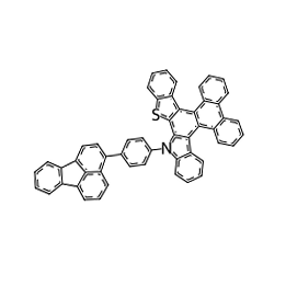 c1ccc2c(c1)-c1cccc3c(-c4ccc(-n5c6ccccc6c6c7c8ccccc8c8ccccc8c7c7c8ccccc8sc7c65)cc4)ccc-2c13